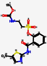 CC(C)(C)OC(=O)NCCS(=O)(=O)Oc1ccccc1C(=O)Nc1ncc([N+](=O)[O-])s1